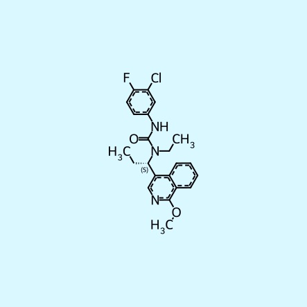 CC[C@@H](c1cnc(OC)c2ccccc12)N(CC)C(=O)Nc1ccc(F)c(Cl)c1